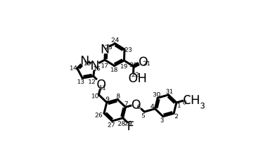 Cc1ccc(COc2cc(COc3ccnn3-c3cc(C(=O)O)ccn3)ccc2F)cc1